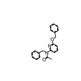 CC(=O)N(Cc1ccccc1)c1cccc(OCc2ccccc2)n1